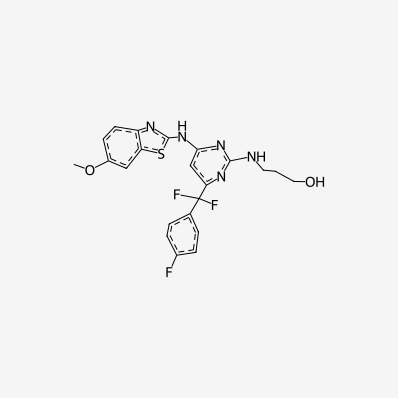 COc1ccc2nc(Nc3cc(C(F)(F)c4ccc(F)cc4)nc(NCCCO)n3)sc2c1